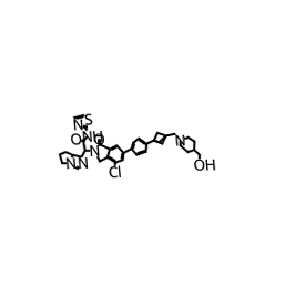 O=C(Nc1nccs1)C(C1N=CN2CCCC12)N1Cc2c(Cl)cc(-c3ccc(C45CC(CN6CCC(CO)CC6)(C4)C5)cc3)cc2C1=O